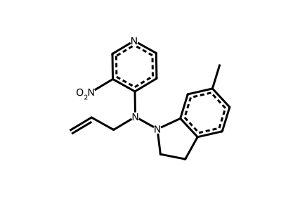 C=CCN(c1ccncc1[N+](=O)[O-])N1CCc2ccc(C)cc21